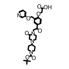 CC(C)(C)OC(=O)N1CCC(N2CCN(CC(=O)c3ccc(OCC(=O)O)c(COc4cccnc4)c3)C(=O)C2)CC1